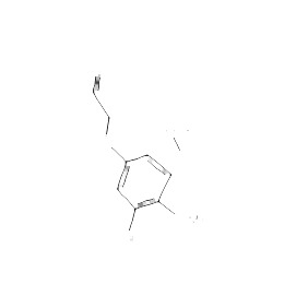 C=CCOc1ccc(OC)c(Br)c1.O=C([O-])O.[K+]